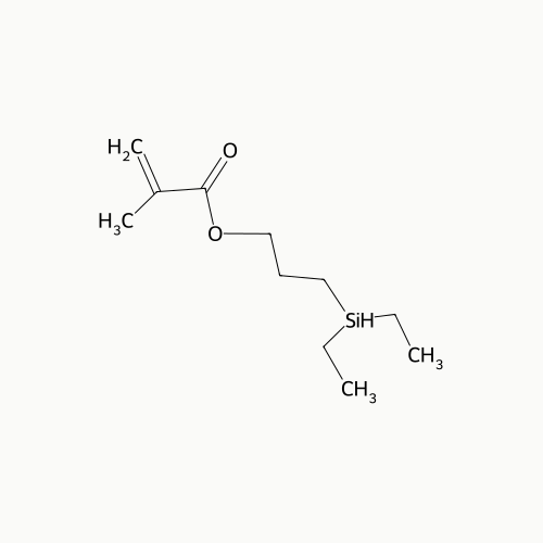 C=C(C)C(=O)OCCC[SiH](CC)CC